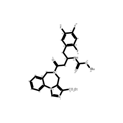 CCOC(=O)c1ncn2c1CN(C(=O)CC(Cc1cc(F)c(F)cc1F)NC(=O)OC(C)(C)C)Cc1ccccc1-2